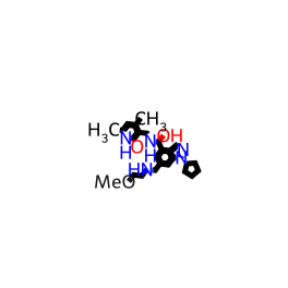 COCCNCc1cc(C(O)NCc2c(C)cc(C)[nH]c2=O)c2cnn(C3CCCC3)c2c1